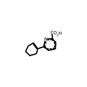 O=C(O)c1cccc(C2=CCCCC2)n1